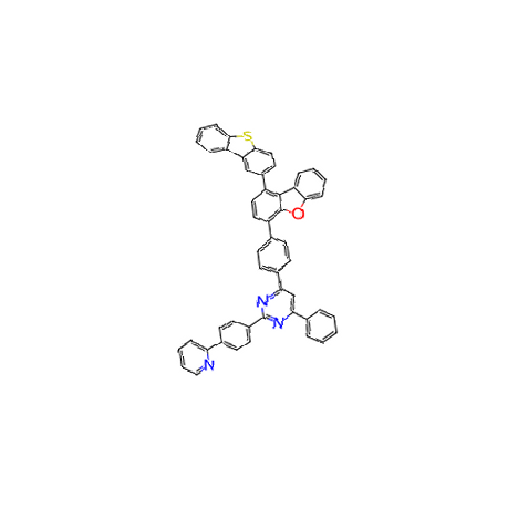 c1ccc(-c2cc(-c3ccc(-c4ccc(-c5ccc6sc7ccccc7c6c5)c5c4oc4ccccc45)cc3)nc(-c3ccc(-c4ccccn4)cc3)n2)cc1